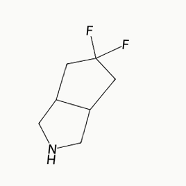 FC1(F)CC2CNCC2C1